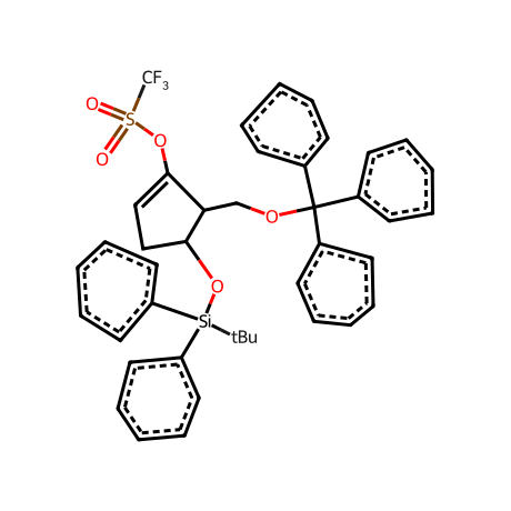 CC(C)(C)[Si](OC1CC=C(OS(=O)(=O)C(F)(F)F)C1COC(c1ccccc1)(c1ccccc1)c1ccccc1)(c1ccccc1)c1ccccc1